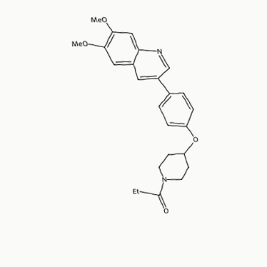 CCC(=O)N1CCC(Oc2ccc(-c3cnc4cc(OC)c(OC)cc4c3)cc2)CC1